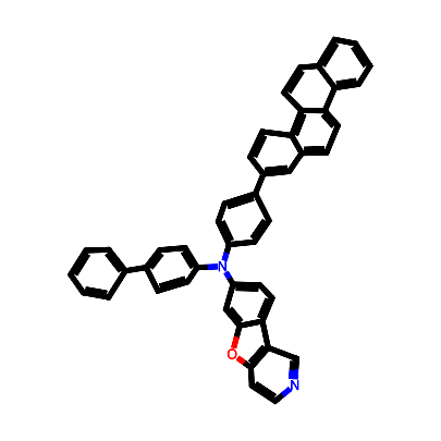 c1ccc(-c2ccc(N(c3ccc(-c4ccc5c(ccc6c7ccccc7ccc56)c4)cc3)c3ccc4c(c3)oc3ccncc34)cc2)cc1